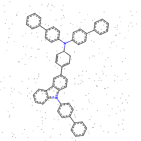 C1=CC(N(c2ccc(-c3ccccc3)cc2)c2ccc(-c3ccccc3)cc2)CC=C1c1ccc2c(c1)c1ccccc1n2-c1ccc(-c2ccccc2)cc1